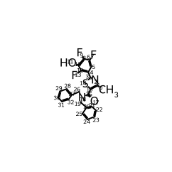 Cc1nc(-c2cc(F)c(F)c(O)c2F)sc1C(=O)N(Cc1ccccc1)Cc1ccccc1